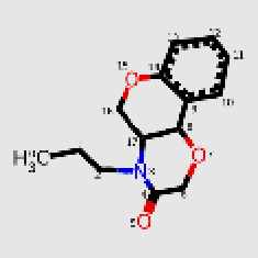 CCCN1C(=O)COC2c3ccccc3OCC21